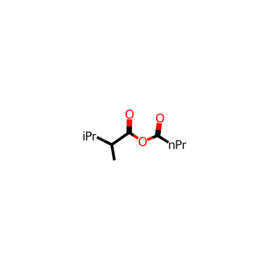 CCCC(=O)OC(=O)C(C)C(C)C